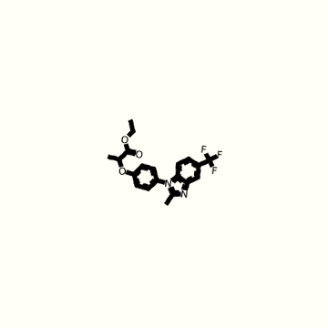 CCOC(=O)C(C)Oc1ccc(-n2c(C)nc3cc(C(F)(F)F)ccc32)cc1